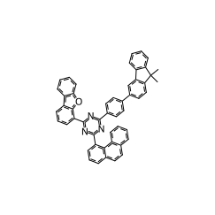 CC1(C)c2ccccc2-c2cc(-c3ccc(-c4nc(-c5cccc6c5oc5ccccc56)nc(-c5cccc6ccc7ccccc7c56)n4)cc3)ccc21